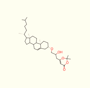 CC(C)CCC[C@@H](C)C1CCC2C3CC=C4C[C@@H](OCC(O)CC5=CC(=O)OC(C)(C)O5)CC[C@]4(C)C3CC[C@@]21C